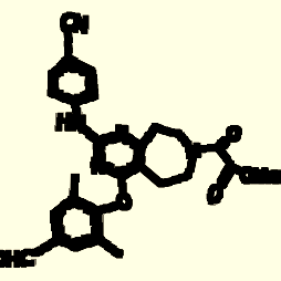 COC(=O)C(=O)N1CCc2nc(Nc3ccc(C#N)cc3)nc(Oc3c(C)cc(C=O)cc3C)c2CC1